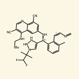 C=N/C=C\c1c(C)cccc1[C@H](Nc1cc(C#N)c2ncc(C#N)c(NCC(C)(C)C)c2c1)C1=CN(C(C)(C)C(F)F)NN1